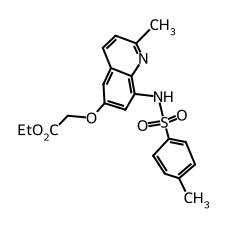 CCOC(=O)COc1cc(NS(=O)(=O)c2ccc(C)cc2)c2nc(C)ccc2c1